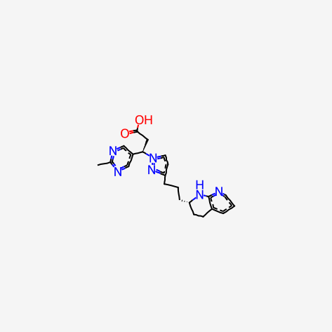 Cc1ncc([C@@H](CC(=O)O)n2ccc(CCC[C@H]3CCc4cccnc4N3)n2)cn1